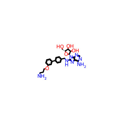 NCCCOc1cccc(-c2ccc(CNc3nc4c(N)ncnc4n3[C@@H]3O[C@H](CO)C(O)C3O)cc2)c1